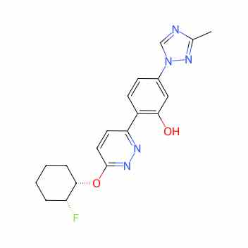 Cc1ncn(-c2ccc(-c3ccc(O[C@H]4CCCC[C@H]4F)nn3)c(O)c2)n1